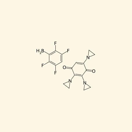 Bc1c(F)c(F)cc(F)c1F.O=C1C=C(N2CC2)C(=O)C(N2CC2)=C1N1CC1